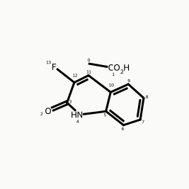 CC(=O)O.O=c1[nH]c2ccccc2cc1F